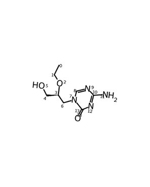 CCO[C@H](CO)Cn1cnc(N)nc1=O